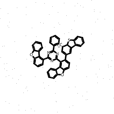 CC1C=C(c2ccc3oc4ccccc4c3c2-c2nc(-c3ccccc3)nc(-c3cccc4oc5ccccc5c34)n2)C=C2c3ccccc3SC21